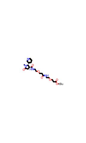 CN1C(=O)C[C@H](C(=O)NCCOCCC(=O)NCCOCCC(=O)OC(C)(C)C)[C@H]1c1cccnc1